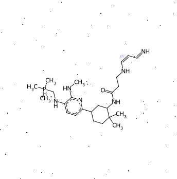 CNc1nc(C2CCC(C)(C)C(NC(=O)CCN/C=C\C=N)C2)ccc1NC[PH](C)(C)C